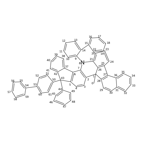 CC12c3ccc4c(c3N(c3ccccc3-c3ccccc3)c3cccc(c31)-c1c2ccc2ccccc12)-c1ccccc1C4(c1ccccc1)c1ccc(-c2ccccc2)cc1